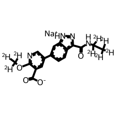 [2H]C([2H])([2H])Oc1ncc(-c2ccc3c(C(=O)NC([2H])([2H])C([2H])([2H])[2H])n[nH]c3c2)cc1C(=O)[O-].[Na+]